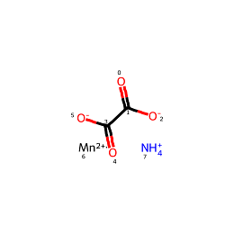 O=C([O-])C(=O)[O-].[Mn+2].[NH4+]